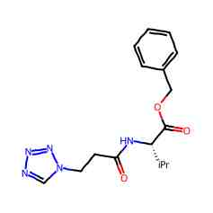 CC(C)[C@H](NC(=O)CCn1cnnn1)C(=O)OCc1ccccc1